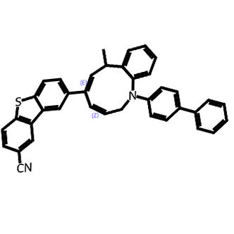 CC1/C=C(c2ccc3sc4ccc(C#N)cc4c3c2)\C=C/CN(c2ccc(-c3ccccc3)cc2)c2ccccc21